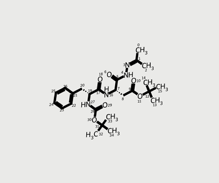 CC(C)=NNC(=O)[C@H](CC(=O)OC(C)(C)C)NC(=O)[C@@H](Cc1ccccc1)NC(=O)OC(C)(C)C